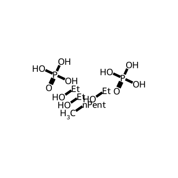 CCCCCC.CCO.CCO.CCO.O=P(O)(O)O.O=P(O)(O)O